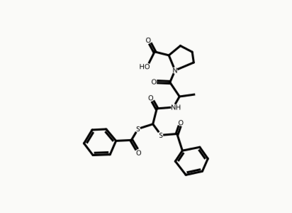 CC(NC(=O)C(SC(=O)c1ccccc1)SC(=O)c1ccccc1)C(=O)N1CCCC1C(=O)O